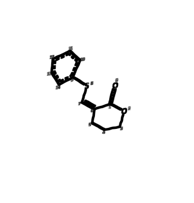 O=C1OCCCC1=CSc1ccccc1